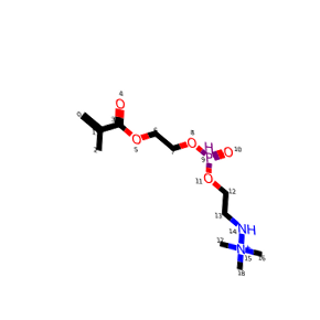 C=C(C)C(=O)OCCO[PH](=O)OCCN[N+](C)(C)C